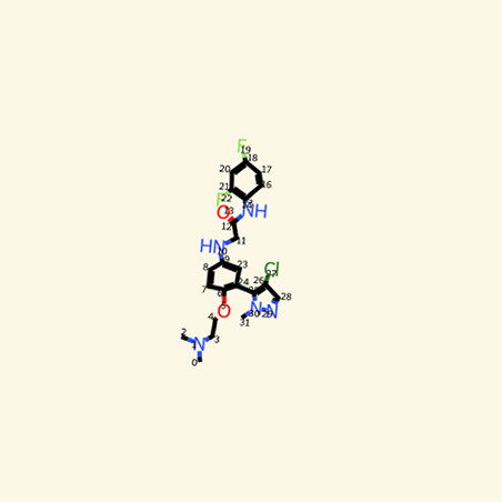 CN(C)CCOc1ccc(NCC(=O)Nc2ccc(F)cc2F)cc1-c1c(Cl)cnn1C